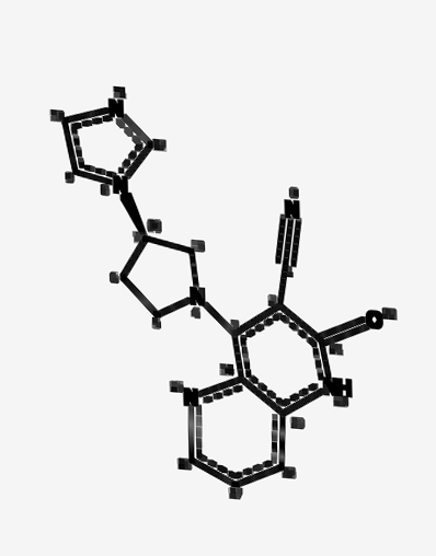 N#Cc1c(N2CC[C@@H](n3ccnc3)C2)c2ncccc2[nH]c1=O